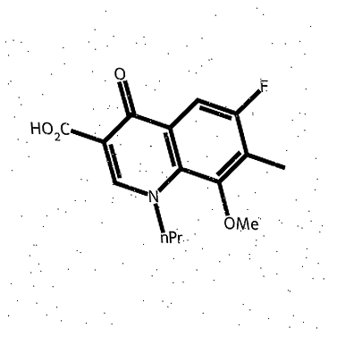 CCCn1cc(C(=O)O)c(=O)c2cc(F)c(C)c(OC)c21